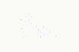 CC1C=C(c2cccc(C3[C@H](C4=CC(C)C(n5c6ccc7ccccc7c6c6c7ccccc7c(-c7ccc8oc9ccccc9c8c7)cc65)C=C4)N3c3ccccc3N)c2)C=CC1c1ccccc1